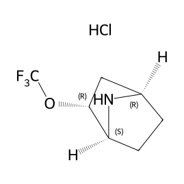 Cl.FC(F)(F)O[C@@H]1C[C@H]2CC[C@@H]1N2